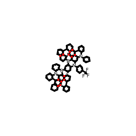 FC(F)(F)c1ccc(N2c3cc4c(cc3B3c5ccccc5N(c5ccccc5-c5ccccc5)c5cc(N(c6ccccc6)c6ccccc6-c6ccccc6)cc2c53)B2c3ccccc3N(c3ccccc3-c3ccccc3)c3cc(N(c5ccccc5)c5ccccc5-c5ccccc5)cc(c32)S4)cc1